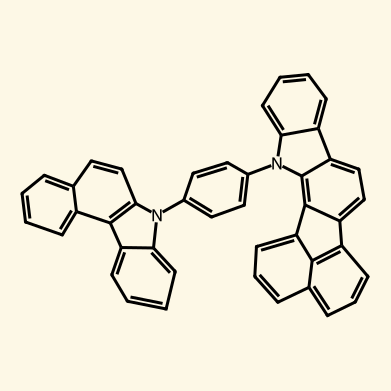 c1cc2c3c(cccc3c1)-c1c-2ccc2c3ccccc3n(-c3ccc(-n4c5ccccc5c5c6ccccc6ccc54)cc3)c12